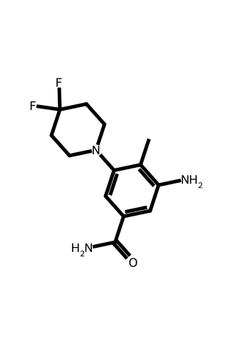 Cc1c(N)cc(C(N)=O)cc1N1CCC(F)(F)CC1